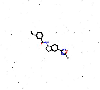 C=Cc1cccc(C(=O)N[C@@H]2CCc3cc(-c4noc(CC)n4)ccc32)c1